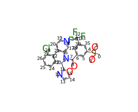 CS(=O)(=O)c1cc(C(=O)N(Cc2ncco2)c2cnccc2-c2ccccc2Cl)cc(C(F)(F)F)c1